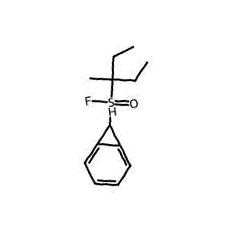 CCC(C)(CC)[SH](=O)(F)C1c2ccccc21